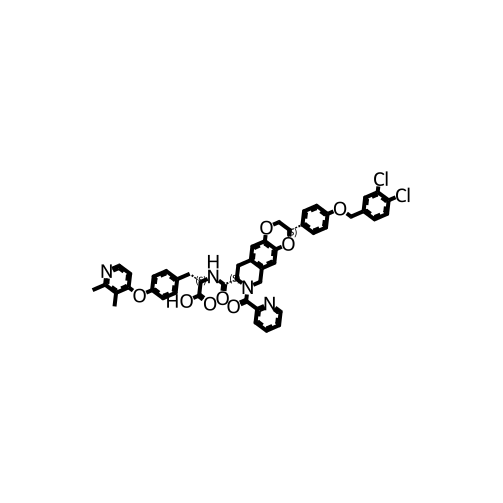 Cc1nccc(Oc2ccc(C[C@H](NC(=O)[C@@H]3Cc4cc5c(cc4CN3C(=O)c3ccccn3)O[C@@H](c3ccc(OCc4ccc(Cl)c(Cl)c4)cc3)CO5)C(=O)O)cc2)c1C